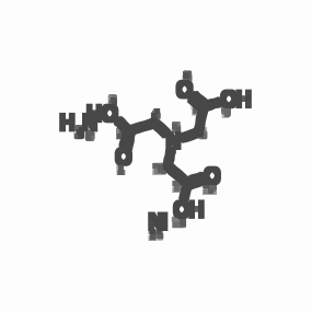 N.O=C(O)CN(CC(=O)O)CC(=O)O.[Ni]